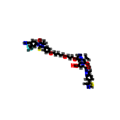 Cc1ncsc1-c1ccc([C@H](C)NC(=O)[C@@H]2C[C@@H](O)CN2C(=O)[C@@H](C(C)C)n2cc(OCCCOCCCCCOc3ccc(N4C(=S)N(c5ccc(C#N)c(C(F)(F)F)c5)C(=O)C4(C)C)cc3)cn2)cc1